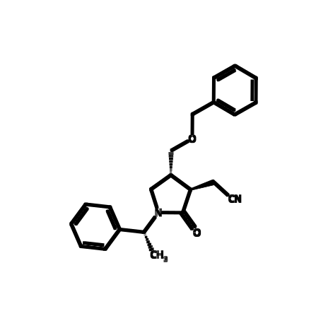 C[C@H](c1ccccc1)N1C[C@H](COCc2ccccc2)[C@@H](CC#N)C1=O